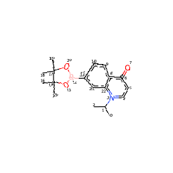 CC(C)n1ccc(=O)c2ccc(B3OC(C)(C)C(C)(C)O3)cc21